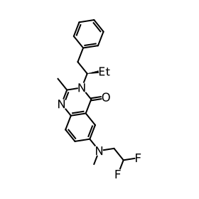 CC[C@H](Cc1ccccc1)n1c(C)nc2ccc(N(C)CC(F)F)cc2c1=O